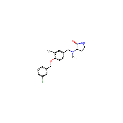 Cc1cc(CN(C)C2CCNC2=O)ccc1OCc1cccc(F)c1